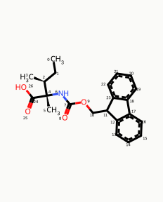 CC[C@H](C)[C@](C)(NC(=O)OCC1c2ccccc2-c2ccccc21)C(=O)O